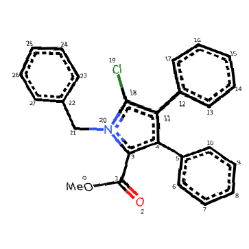 COC(=O)c1c(-c2ccccc2)c(-c2ccccc2)c(Cl)n1Cc1ccccc1